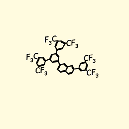 FC(F)(F)c1cc(-c2cc(-c3cc(C(F)(F)F)cc(C(F)(F)F)c3)cc(-c3ccc4ccc(-c5cc(C(F)(F)F)cc(C(F)(F)F)c5)cc4c3)c2)cc(C(F)(F)F)c1